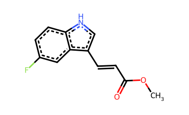 COC(=O)/C=C/c1c[nH]c2ccc(F)cc12